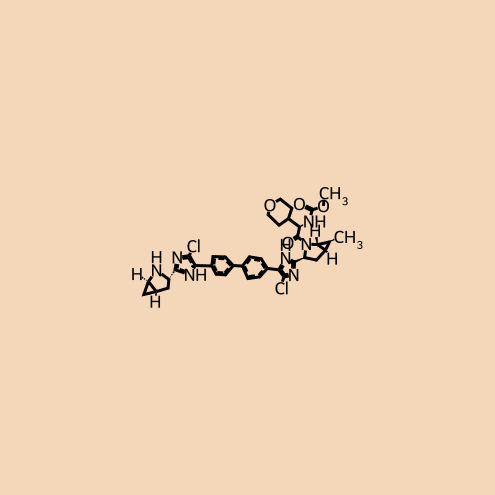 COC(=O)N[C@H](C(=O)N1[C@@H]2[C@H](C)[C@@H]2C[C@H]1c1nc(Cl)c(-c2ccc(-c3ccc(-c4[nH]c([C@@H]5C[C@H]6C[C@H]6N5)nc4Cl)cc3)cc2)[nH]1)C1CCOCC1